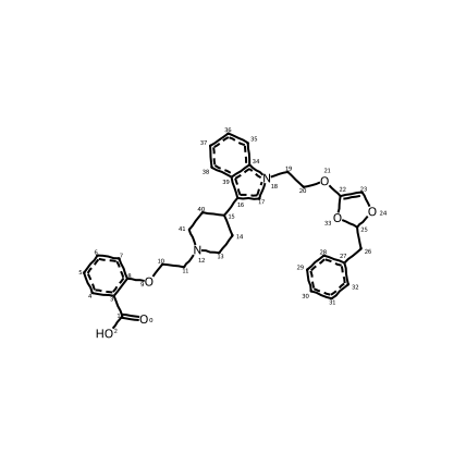 O=C(O)c1ccccc1OCCN1CCC(c2cn(CCOC3=COC(Cc4ccccc4)O3)c3ccccc23)CC1